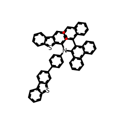 c1ccc2c(-c3c(N(c4ccc(-c5ccc6c(c5)sc5ccccc56)cc4)c4cccc5c4sc4ccccc45)c4ccccc4c4ccccc34)cccc2c1